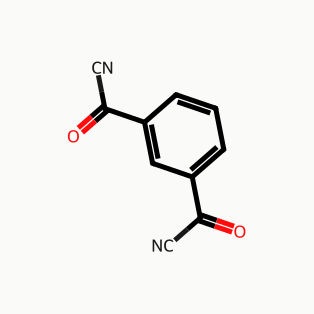 N#CC(=O)c1cccc(C(=O)C#N)c1